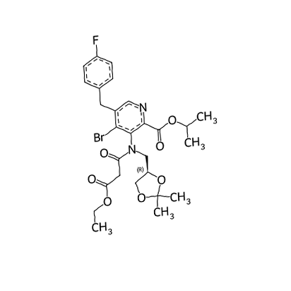 CCOC(=O)CC(=O)N(C[C@@H]1COC(C)(C)O1)c1c(C(=O)OC(C)C)ncc(Cc2ccc(F)cc2)c1Br